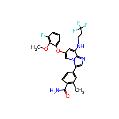 COc1c(F)cccc1Oc1cc(NCCC(F)(F)F)c2ncc(-c3ccc(C(N)=O)c(C)c3)n2c1